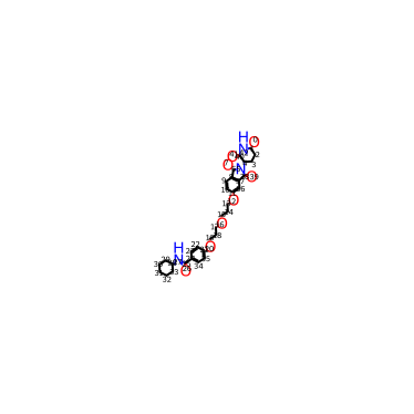 O=C1CCC(N2C(=O)c3ccc(OCCCOCCCOc4ccc(C(=O)NC5CCCCC5)cc4)cc3C2=O)C(=O)N1